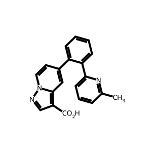 Cc1cccc(-c2ccccc2-c2ccn3ncc(C(=O)O)c3c2)n1